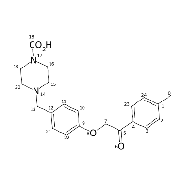 Cc1ccc(C(=O)COc2ccc(CN3CCN(C(=O)O)CC3)cc2)cc1